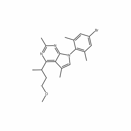 CO[CH]CC(C)c1nc(C)nc2c1c(C)cn2-c1c(C)cc(Br)cc1C